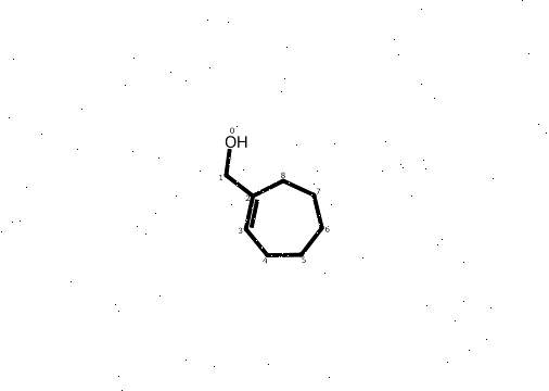 OCC1=CCCCCC1